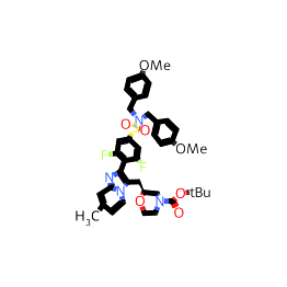 COc1ccc(CN(Cc2ccc(OC)cc2)S(=O)(=O)c2cc(F)c(-c3nc4cc(C)ccn4c3C[C@H]3CN(C(=O)OC(C)(C)C)CCO3)c(F)c2)cc1